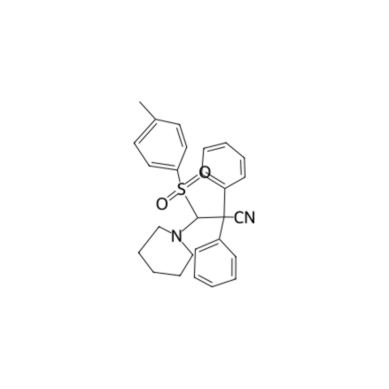 Cc1ccc(S(=O)(=O)C(N2CCCCC2)C(C#N)(c2ccccc2)c2ccccc2)cc1